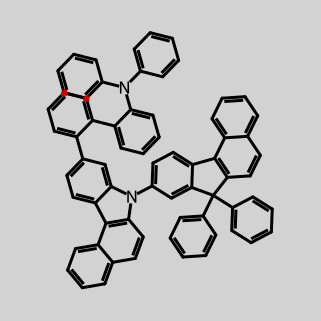 c1ccc(N(c2ccccc2)c2ccccc2-c2ccccc2-c2ccc3c4c5ccccc5ccc4n(-c4ccc5c(c4)C(c4ccccc4)(c4ccccc4)c4ccc6ccccc6c4-5)c3c2)cc1